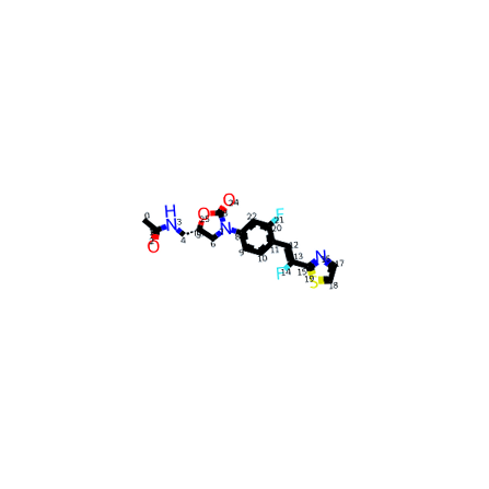 CC(=O)NC[C@H]1CN(c2ccc(C=C(F)c3nccs3)c(F)c2)C(=O)O1